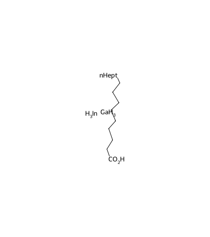 CCCCCCCCCCCCCCCC(=O)O.[GaH3].[InH3]